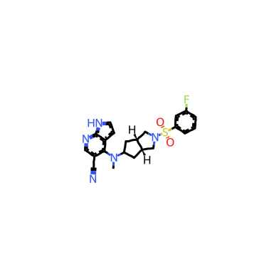 CN(c1c(C#N)cnc2[nH]ccc12)C1C[C@@H]2CN(S(=O)(=O)c3cccc(F)c3)C[C@@H]2C1